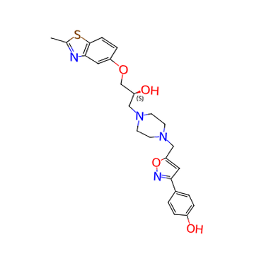 Cc1nc2cc(OC[C@@H](O)CN3CCN(Cc4cc(-c5ccc(O)cc5)no4)CC3)ccc2s1